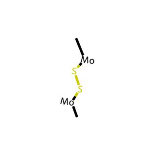 [CH3][Mo][S][S][Mo][CH3]